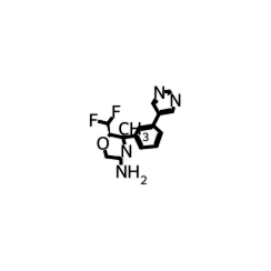 C[C@]1(c2cccc(-c3cncnc3)c2)N=C(N)CO[C@H]1C(F)F